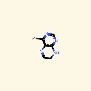 CC(C)c1ncnc2c1N=CCN2